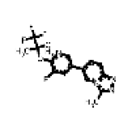 Cc1nnc2ccc(-c3cnc(OC(C)(C)C(F)(F)F)c(F)c3)cn12